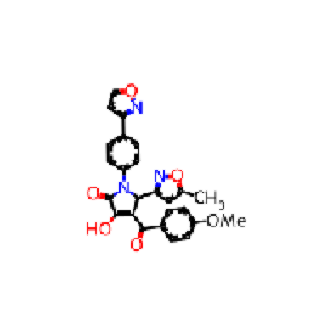 COc1ccc(C(=O)C2=C(O)C(=O)N(c3ccc(-c4ccon4)cc3)C2c2cc(C)on2)cc1